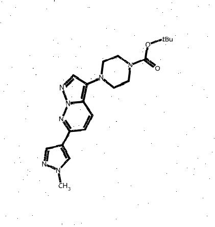 Cn1cc(-c2ccc3c(N4CCN(C(=O)OC(C)(C)C)CC4)cnn3n2)cn1